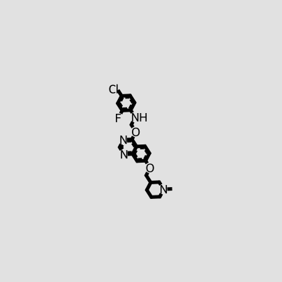 CN1CCCC(COc2ccc3c(OCNc4ccc(Cl)cc4F)ncnc3c2)C1